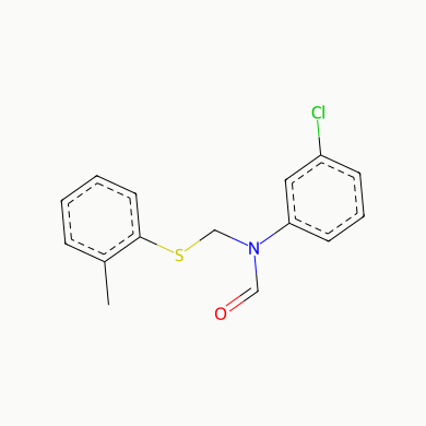 Cc1ccccc1SCN(C=O)c1cccc(Cl)c1